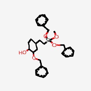 CO[Si](CCC1CCC(O)C(OCc2ccccc2)C1)(OCc1ccccc1)OCc1ccccc1